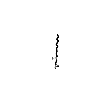 CCCCCCCCCCNCCN(C)C